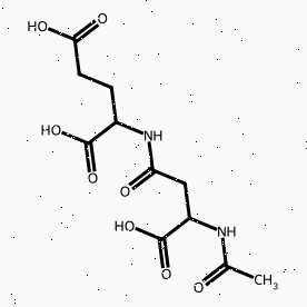 CC(=O)NC(CC(=O)NC(CCC(=O)O)C(=O)O)C(=O)O